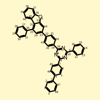 c1ccc(-c2ccc(-c3nc(-c4ccccc4)nc(-c4ccc(-c5cc(-c6ccccc6)c6c(c5)oc5ccccc56)cc4)n3)cc2)cc1